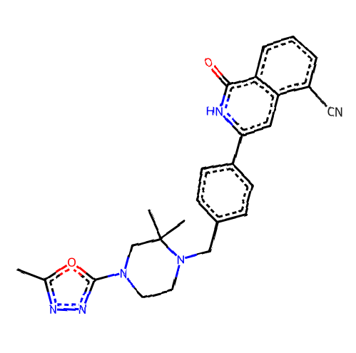 Cc1nnc(N2CCN(Cc3ccc(-c4cc5c(C#N)cccc5c(=O)[nH]4)cc3)C(C)(C)C2)o1